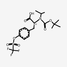 CC(C)N(C(=O)OC(C)(C)C)[C@@H](Cc1ccc(OS(=O)(=O)C(F)(F)F)cc1)C(=O)O